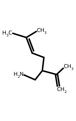 C=C(C)C(CN)CC=C(C)C